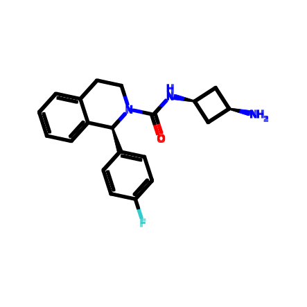 N[C@H]1C[C@@H](NC(=O)N2CCc3ccccc3[C@@H]2c2ccc(F)cc2)C1